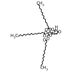 CCCCCCCCCCCCCCCC(=O)OC[C@@H]1O[C@H](n2ccc(=O)[nH]c2=O)C(OC(=O)CCCCCCCCCCCCCCC)C1OC(=O)CCCCCCCCCCCCCCC